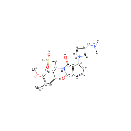 CCOc1cc(C(CS(C)(=O)=O)N2C(=O)c3cccc(-n4ccc(CN(C)C)c4)c3C2=O)ccc1OC